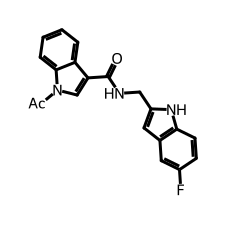 CC(=O)n1cc(C(=O)NCc2cc3cc(F)ccc3[nH]2)c2ccccc21